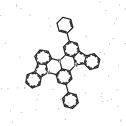 C1=CC(c2cc3c4c(c2)c2ccccc2n4-c2cc(-c4ccccc4)cc4c2B3c2cccc3c5ccccc5n-4c23)=CCC1